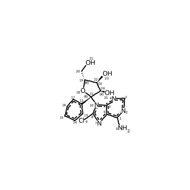 Nc1ncnc2c1nc(Cl)n2[C@]1(c2ccccc2)O[C@H](CO)[C@@H](O)[C@H]1O